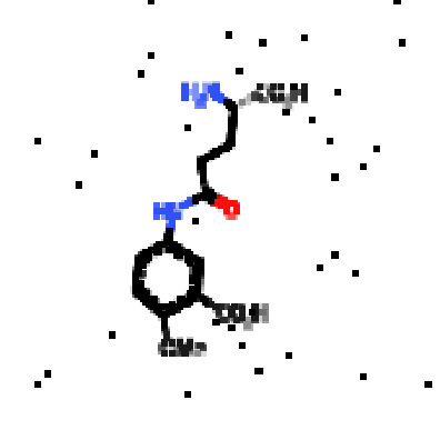 COc1ccc(NC(=O)CC[C@H](N)C(=O)O)cc1C(=O)O